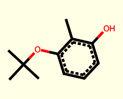 Cc1c(O)cccc1OC(C)(C)C